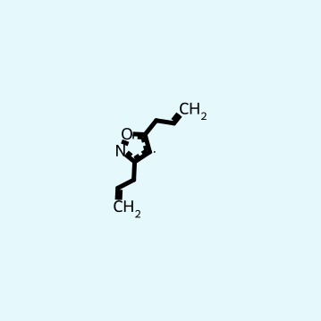 C=CCc1[c]c(CC=C)on1